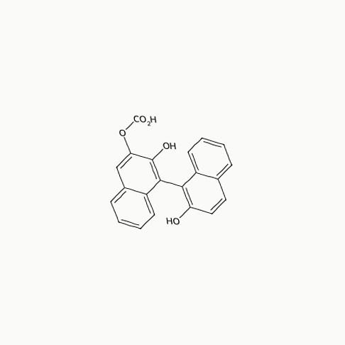 O=C(O)Oc1cc2ccccc2c(-c2c(O)ccc3ccccc23)c1O